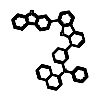 C1=CC2C=CC=C(N(C3=CCCC(C4C=CC=C5c6cccc(-c7ccc8c(c7)oc7ccccc78)c6OC54)=C3)c3ccccc3)C2C=C1